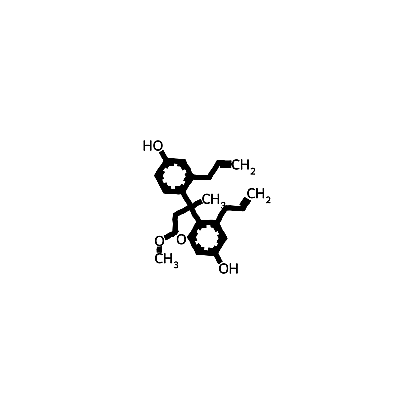 C=CCc1cc(O)ccc1C(C)(CC(=O)OC)c1ccc(O)cc1CC=C